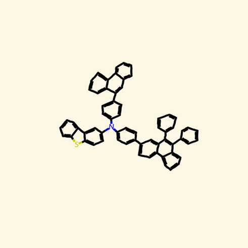 c1ccc(-c2c(-c3ccccc3)c3cc(-c4ccc(N(c5ccc(-c6cc7ccccc7c7ccccc67)cc5)c5ccc6sc7ccccc7c6c5)cc4)ccc3c3ccccc23)cc1